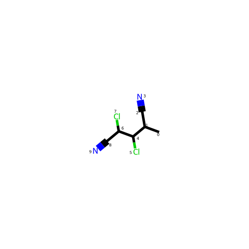 CC(C#N)C(Cl)C(Cl)C#N